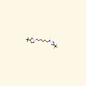 CC(C)(C)C1CN(C(=O)CCCCCCN2C(=O)CC(C(C)(C)C)C2=O)C1